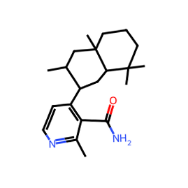 Cc1nccc(C2CC3C(C)(C)CCCC3(C)CC2C)c1C(N)=O